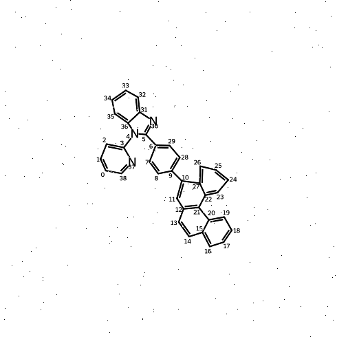 c1ccc(-n2c(-c3ccc(-c4cc5ccc6ccccc6c5c5ccccc45)cc3)nc3ccccc32)nc1